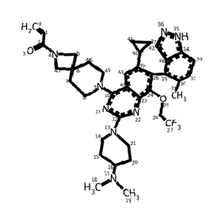 C=CC(=O)N1CC2(CCN(c3nc(N4CCC(N(C)C)CC4)nc4c(OCC(F)(F)F)c(-c5c(C)ccc6[nH]ncc56)c(C5CC5)cc34)CC2)C1